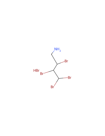 Br.NCC(Br)C(Br)C(Br)Br